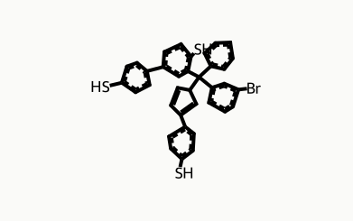 Sc1ccc(C2=CC(C(c3ccccc3)(c3cccc(Br)c3)c3cc(-c4ccc(S)cc4)ccc3S)C=C2)cc1